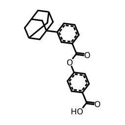 O=C(O)c1ccc(OC(=O)c2cccc(C34CC5CC(CC(C5)C3)C4)c2)cc1